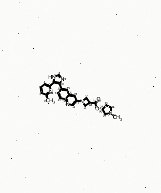 Cc1cccc(-c2[nH]cnc2-c2ccc3ncc(N4CC(C(=O)O[C@@H]5CCN(C)C5)C4)cc3c2)n1